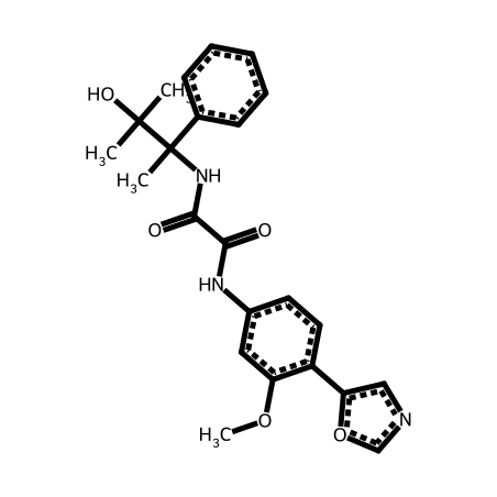 COc1cc(NC(=O)C(=O)NC(C)(c2ccccc2)C(C)(C)O)ccc1-c1cnco1